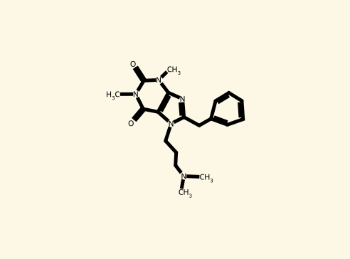 CN(C)CCCn1c(Cc2ccccc2)nc2c1c(=O)n(C)c(=O)n2C